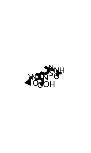 CC(=O)Nc1nc(C)c(-c2cc3c(c(C(=O)O)n2)C(=O)N([C@@H](C)C2CC2)C3)s1